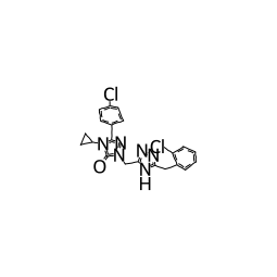 O=c1n(Cc2nnc(Cc3ccccc3Cl)[nH]2)nc(-c2ccc(Cl)cc2)n1C1CC1